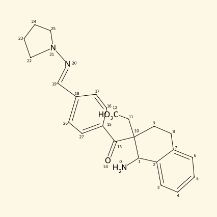 NC1c2ccccc2CCC1(CC(=O)O)C(=O)c1ccc(C=NN2CCCC2)cc1